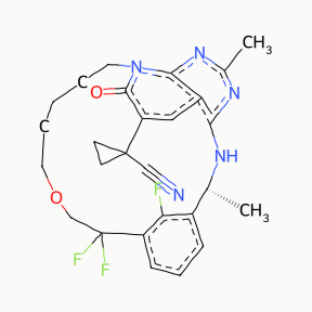 Cc1nc2c3cc(C4(C#N)CC4)c(=O)n(c3n1)CCCCCOCC(F)(F)c1cccc(c1F)[C@@H](C)N2